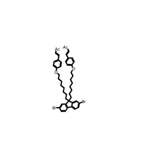 CC(=O)C=Cc1ccc(OCCCCCCCCC2(CCCCCCCCOc3ccc(C=CC(C)=O)cc3)c3cc(Br)ccc3-c3ccc(Br)cc32)cc1